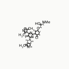 CNC[C@@H](O)COc1ccc(Cl)c(-c2nc(-c3c(C)noc3C)c(F)c(C3Cc4cnn(C)c4C3)n2)c1